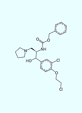 O=C(N[C@H](CN1CCCC1)C(O)c1ccc(OCCCl)c(Cl)c1)OCc1ccccc1